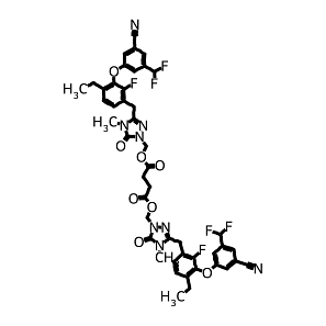 CCc1ccc(Cc2nn(COC(=O)CCC(=O)OCn3nc(Cc4ccc(CC)c(Oc5cc(C#N)cc(C(F)F)c5)c4F)n(C)c3=O)c(=O)n2C)c(F)c1Oc1cc(C#N)cc(C(F)F)c1